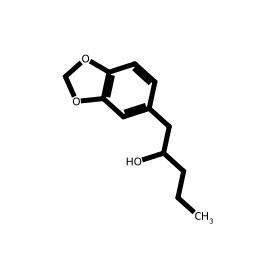 CCCC(O)Cc1ccc2c(c1)OCO2